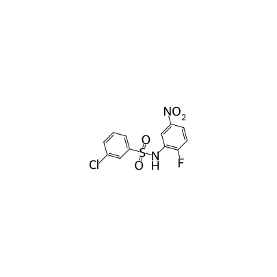 O=[N+]([O-])c1ccc(F)c(NS(=O)(=O)c2cccc(Cl)c2)c1